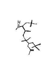 C=C(C)CC(CC(C)(C)C)C(C)(C)CC(C)C(BC)CC(C)(C)C